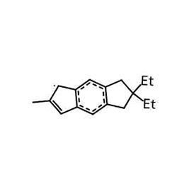 CCC1(CC)Cc2cc3c(cc2C1)C=C(C)[CH]3